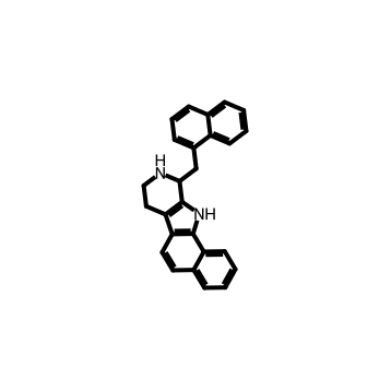 c1ccc2c(CC3NCCc4c3[nH]c3c4ccc4ccccc43)cccc2c1